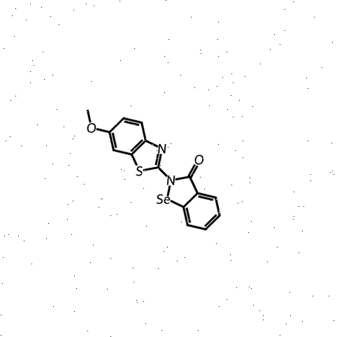 COc1ccc2nc(-n3[se]c4ccccc4c3=O)sc2c1